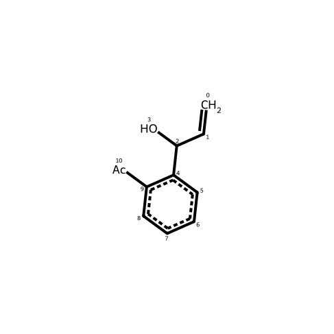 C=CC(O)c1ccccc1C(C)=O